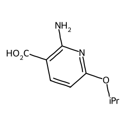 CC(C)Oc1ccc(C(=O)O)c(N)n1